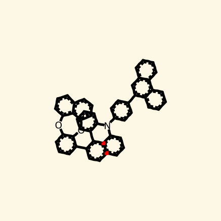 c1ccc(N(c2ccc(-c3cc4ccccc4c4ccccc34)cc2)c2ccccc2-c2ccccc2-c2cccc3c2Oc2cccc4cccc(c24)O3)cc1